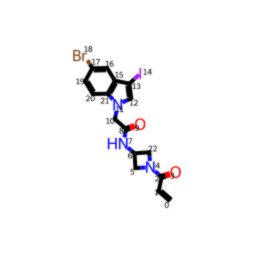 C=CC(=O)N1CC(NC(=O)Cn2cc(I)c3cc(Br)ccc32)C1